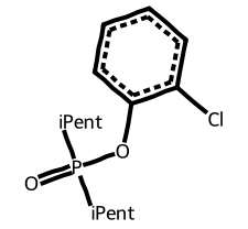 CCCC(C)P(=O)(Oc1ccccc1Cl)C(C)CCC